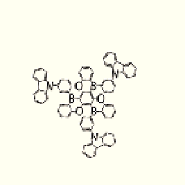 c1cc(B2c3ccccc3Oc3c2c2c(c4c3B(c3cccc(-n5c6ccccc6c6ccccc65)c3)c3ccccc3O4)B(c3cccc(-n4c5ccccc5c5ccccc54)c3)c3ccccc3O2)cc(-n2c3ccccc3c3ccccc32)c1